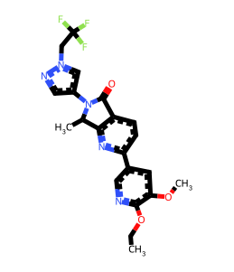 CCOc1ncc(-c2ccc3c(n2)C(C)N(c2cnn(CC(F)(F)F)c2)C3=O)cc1OC